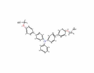 CC(C)(C)[Si](C)(C)Oc1ccc(-c2ccc(N(c3ccccc3)c3ccc(-c4ccc(O[Si](C)(C)C(C)(C)C)cc4)cc3)cc2)cc1